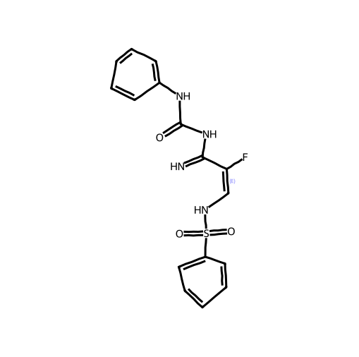 N=C(NC(=O)Nc1ccccc1)/C(F)=C\NS(=O)(=O)c1ccccc1